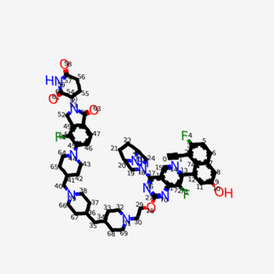 C#Cc1c(F)ccc2cc(O)cc(-c3ncc4c(N5CC6CCC(C5)N6)nc(OCCN5CCC(CC6CCN(CC7CCN(c8ccc9c(c8F)CN([C@H]8CCC(=O)NC8=O)C9=O)CC7)CC6)CC5)nc4c3F)c12